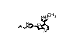 CC(C)Cn1cc(-c2cc3nccc(-c4cnn(C)c4)c3o2)cn1